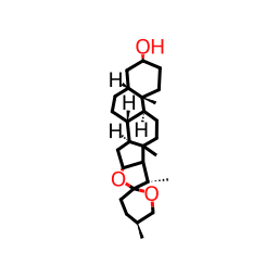 C[C@H]1CCC2(OC1)OC1C[C@H]3[C@@H]4CC[C@@H]5C[C@@H](O)CC[C@]5(C)[C@H]4CCC3(C)C1[C@@H]2C